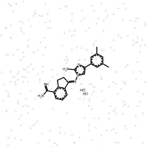 Cc1cc(C)cc(-c2cn(N=C3CCc4c(C(=N)N)cccc43)c(N)n2)c1.Cl.Cl